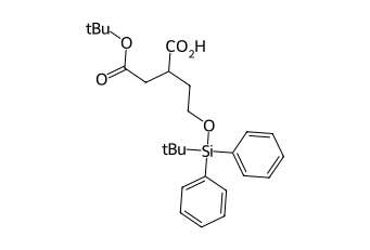 CC(C)(C)OC(=O)CC(CCO[Si](c1ccccc1)(c1ccccc1)C(C)(C)C)C(=O)O